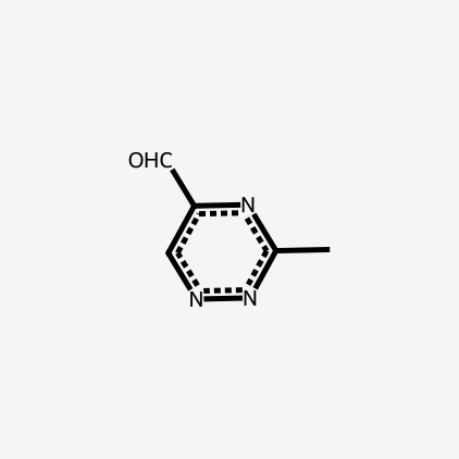 Cc1nncc(C=O)n1